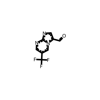 O=Cc1cnc2ncc(C(F)(F)F)cn12